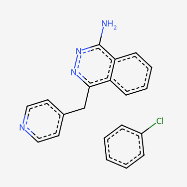 Clc1ccccc1.Nc1nnc(Cc2ccncc2)c2ccccc12